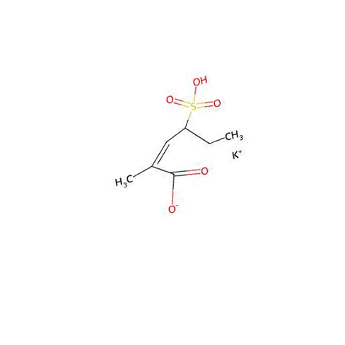 CCC(C=C(C)C(=O)[O-])S(=O)(=O)O.[K+]